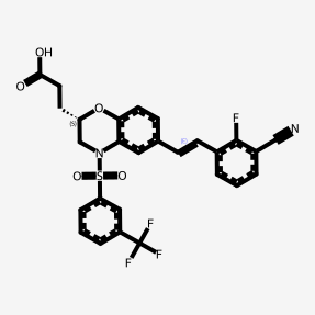 N#Cc1cccc(/C=C/c2ccc3c(c2)N(S(=O)(=O)c2cccc(C(F)(F)F)c2)C[C@H](CCC(=O)O)O3)c1F